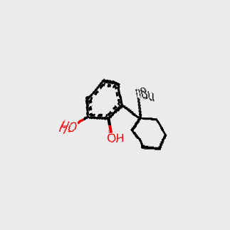 CCCCC1(c2cccc(O)c2O)CCCCC1